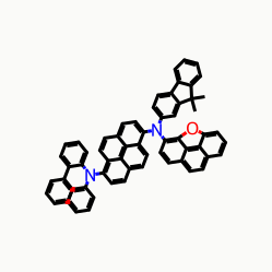 CC1(C)c2ccccc2-c2ccc(N(c3ccc4ccc5c(N(c6ccccc6)c6ccccc6-c6ccccc6)ccc6ccc3c4c65)c3ccc4ccc5cccc6oc3c4c56)cc21